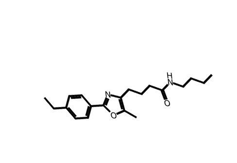 CCCCNC(=O)CCCc1nc(-c2ccc(CC)cc2)oc1C